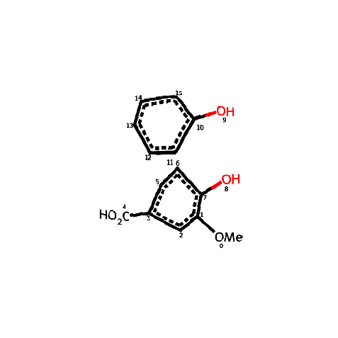 COc1cc(C(=O)O)ccc1O.Oc1ccccc1